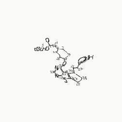 CN(C(=O)OC(C)(C)C)C1CCC(Oc2ncnc3sc4c(c23)C(CCO)CC4)CC1